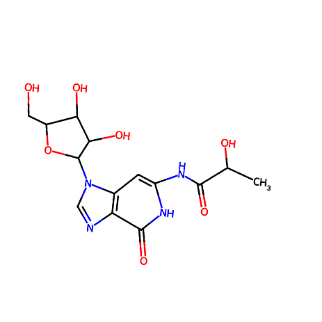 CC(O)C(=O)Nc1cc2c(ncn2C2OC(CO)C(O)C2O)c(=O)[nH]1